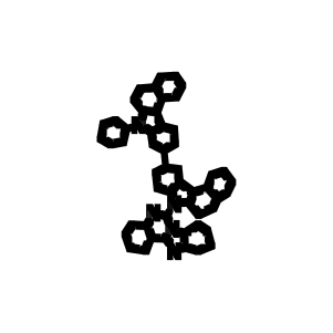 c1ccc(-n2c3cc(-c4ccc5c(c4)c4c6ccccc6ccc4n5-c4nc5ccccc5c5nc6ccccc6n45)ccc3c3c4ccccc4ccc32)cc1